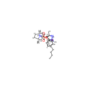 CCCCc1ccc(O[C@H]2C[C@H]3CC[C@@H](C2)N3S(=O)(=O)c2c(C)nn(C)c2C)cc1